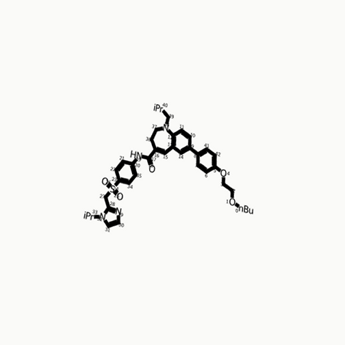 CCCCOCCOc1ccc(-c2ccc3c(c2)C=C(C(=O)Nc2ccc(S(=O)(=O)Cc4nccn4C(C)C)cc2)CCN3CC(C)C)cc1